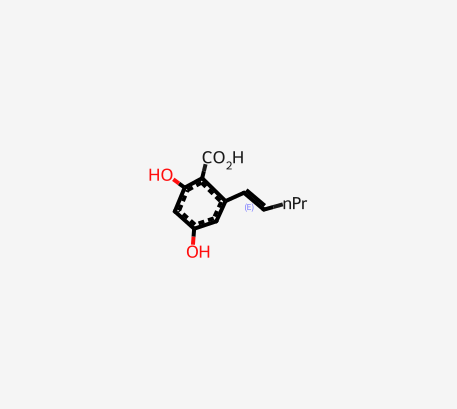 CCC/C=C/c1cc(O)cc(O)c1C(=O)O